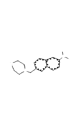 CN(C)c1ccc2cc(CN3CCNCC3)ccc2c1